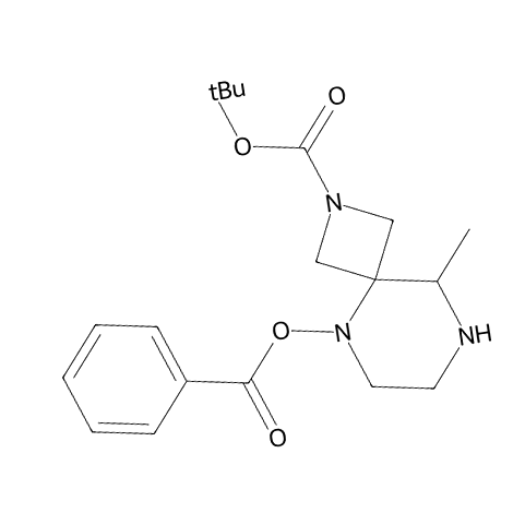 CC1NCCN(OC(=O)c2ccccc2)C12CN(C(=O)OC(C)(C)C)C2